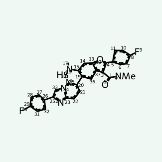 CNC(=O)c1c(-c2ccc(F)cc2)oc2cc(N(C)S)c(-c3ccc4nc(-c5ccc(F)cc5)cn4n3)cc12